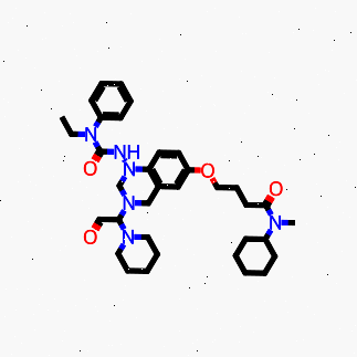 CCN(C(=O)NN1CN(C(C=O)N2CCCCC2)Cc2cc(OCCCC(=O)N(C)C3CCCCC3)ccc21)c1ccccc1